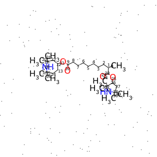 CC(CCCCCCCC(=O)OC1CCC(C)(C)NC(C)(C)C1)C(=O)OC1CC(C)(C)NC1(C)C